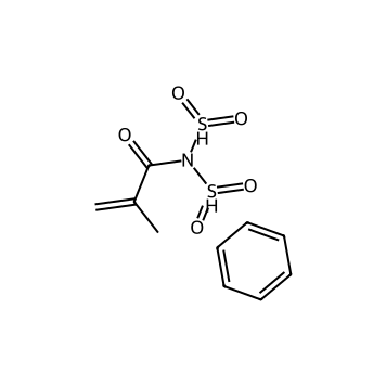 C=C(C)C(=O)N([SH](=O)=O)[SH](=O)=O.c1ccccc1